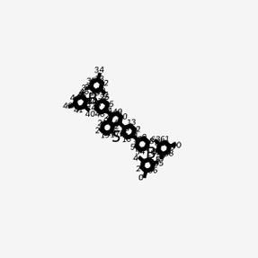 Cc1cc(C)c(B(c2ccc(-c3ccc4c(c3)Sc3cccc5c(-c6ccc(B(c7c(C)cc(C)cc7C)c7c(C)cc(C)cc7C)cc6)ccc-4c35)cc2)c2c(C)cc(C)cc2C)c(C)c1